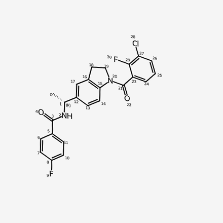 C[C@@H](NC(=O)c1ccc(F)cc1)c1ccc2c(c1)CCN2C(=O)c1cccc(Cl)c1F